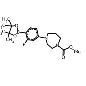 CC(C)(C)OC(=O)N1CCCN(c2ccc(B3OC(C)(C)C(C)(C)O3)c(F)c2)CC1